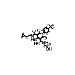 CC(C)(C)c1ccc(-n2c(O)c(C(=O)NCCC3CC3)c(O)c(C(=O)NCC(=O)O)c2=O)cc1